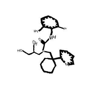 CC(C)c1cccc(C(C)C)c1NC(=O)N(CC(O)CO)CC1(c2ccccn2)CCCCC1